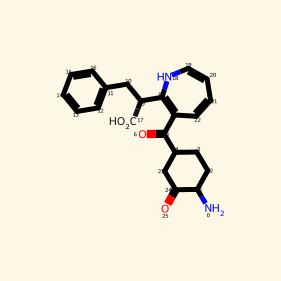 NC1CCC(C(=O)C2=C(C(Cc3ccccc3)C(=O)O)NC=CC=C2)CC1=O